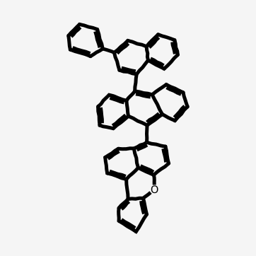 c1ccc(-c2cc(-c3c4ccccc4c(-c4ccc5c6c(cccc46)-c4ccccc4O5)c4ccccc34)c3ccccc3c2)cc1